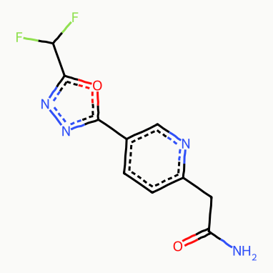 NC(=O)Cc1ccc(-c2nnc(C(F)F)o2)cn1